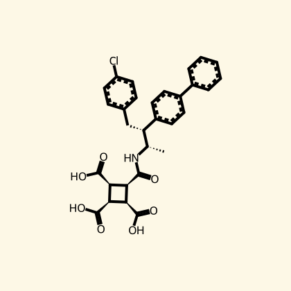 C[C@H](NC(=O)[C@@H]1[C@H](C(=O)O)[C@H](C(=O)O)[C@@H]1C(=O)O)[C@H](Cc1ccc(Cl)cc1)c1ccc(-c2ccccc2)cc1